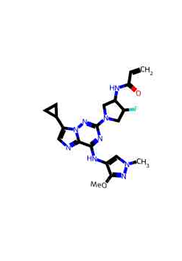 C=CC(=O)NC1CN(c2nc(Nc3cn(C)nc3OC)c3ncc(C4CC4)n3n2)CC1F